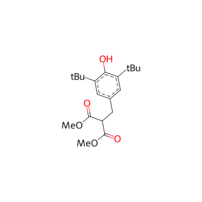 COC(=O)C(Cc1cc(C(C)(C)C)c(O)c(C(C)(C)C)c1)C(=O)OC